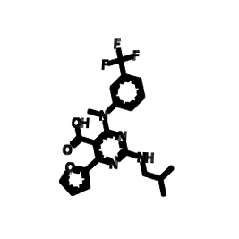 CC(C)CNc1nc(-c2ccco2)c(C(=O)O)c(N(C)c2cccc(C(F)(F)F)c2)n1